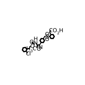 Cc1onc(-c2ccc(CS(=O)(=O)c3ccccc3CC(=O)O)cc2)c1NC(=O)OCCc1ccccc1Cl